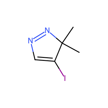 CC1(C)N=NC=C1I